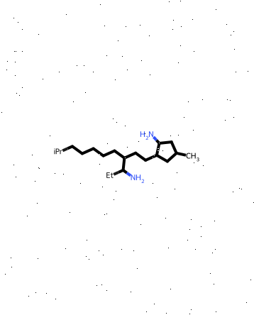 CCC(N)C(CCCCCC(C)C)CCC1CC(C)CC1N